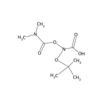 CN(C)C(=O)ON(OC(C)(C)C)C(=O)O